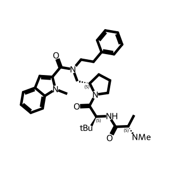 CN[C@@H](C)C(=O)N[C@H](C(=O)N1CCC[C@H]1CN(CCc1ccccc1)C(=O)c1cc2ccccc2n1C)C(C)(C)C